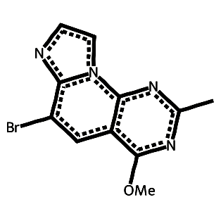 COc1nc(C)nc2c1cc(Br)c1nccn12